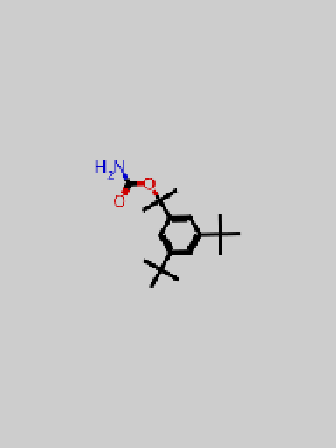 CC(C)(C)c1cc(C(C)(C)C)cc(C(C)(C)OC(N)=O)c1